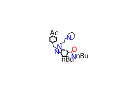 CCCCN(CCCC)C(=O)c1ccc2nc(Cc3ccc(C(C)=O)cc3)n(CCCN3CCCCC3)c2c1